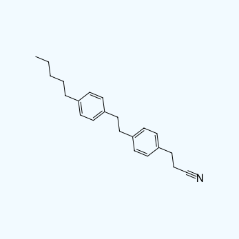 CCCCCc1ccc(CCc2ccc(CCC#N)cc2)cc1